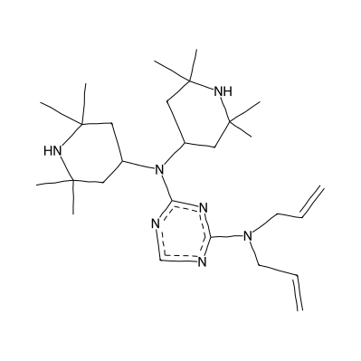 C=CCN(CC=C)c1ncnc(N(C2CC(C)(C)NC(C)(C)C2)C2CC(C)(C)NC(C)(C)C2)n1